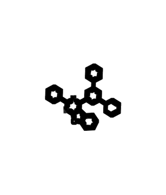 C1=CCC(c2cc(-c3ccccc3)cc(-c3nc(-c4ccccc4)nc4oc5ccccc5c34)c2)C=C1